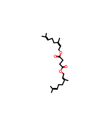 CC(C)=CCC/C(C)=C\COC(=O)CCC(=O)OC/C=C(\C)CCC=C(C)C